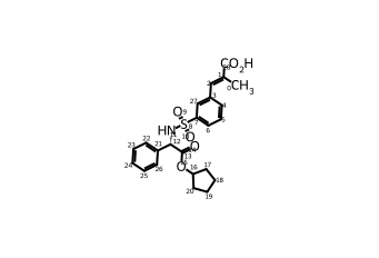 CC(=Cc1cccc(S(=O)(=O)N[C@H](C(=O)OC2CCCC2)c2ccccc2)c1)C(=O)O